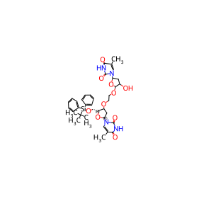 Cc1cn(C2CC(O)C(OCCOC3C[C@H](n4cc(C)c(=O)[nH]c4=O)O[C@@H]3CO[Si](c3ccccc3)(c3ccccc3)C(C)(C)C)O2)c(=O)[nH]c1=O